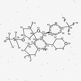 CC1(C)Cc2nc(C3CCOCC3)c3c(c2[C@@H](O[Si](C)(C)C(C)(C)C)C1)C1(CCCC1I)O[C@H]3c1ccc(C(F)(F)F)cc1